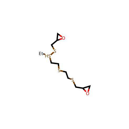 CC[SH](CCSCCSCC1CO1)SCC1CO1